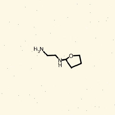 NCCNC1CCCO1